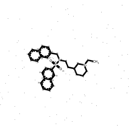 CCN1CCCC(CCN(Cc2ccc3ccccc3c2)S(=O)(=O)c2ccc3ccccc3c2)C1